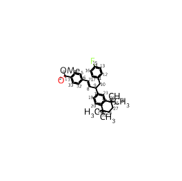 COC(=O)c1ccc(/C=C/C(Cc2ccc(F)cc2)c2ccc3c(c2)C(C)(C)CCC3(C)C)cc1